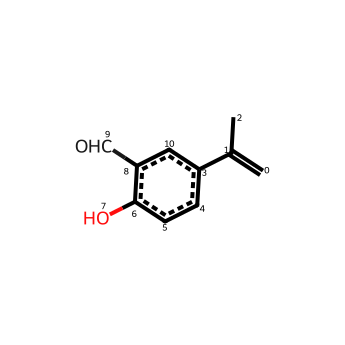 C=C(C)c1ccc(O)c(C=O)c1